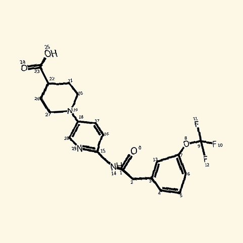 O=C(Cc1cccc(OC(F)(F)F)c1)Nc1ccc(N2CCC(C(=O)O)CC2)cn1